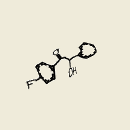 O=C(c1ccc(F)cc1)C(O)c1ccccc1